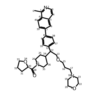 Cc1nccc2cc(-c3ccc(C(COCCCN4CCOCC4)C4CCN(C(=O)[C@H]5CCCO5)CC4)cc3)ccc12